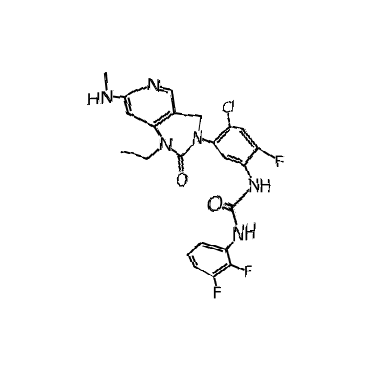 CCN1C(=O)N(c2cc(NC(=O)Nc3cccc(F)c3F)c(F)cc2Cl)Cc2cnc(NC)cc21